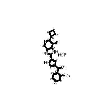 Cl.O=C(c1c[nH]c(-c2nc3cnc(C4CCC4)c(F)c3[nH]2)c1)c1ccccc1C(F)(F)F